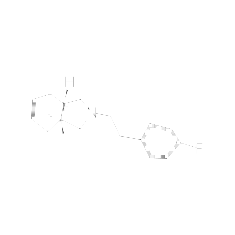 Fc1ccc(CCN2C[C@H]3CC=CC[C@H]3C2)cc1